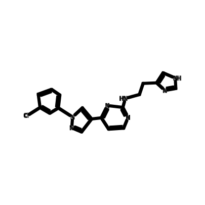 Clc1cccc(-n2cc(-c3ccnc(NCCc4c[nH]cn4)n3)cn2)c1